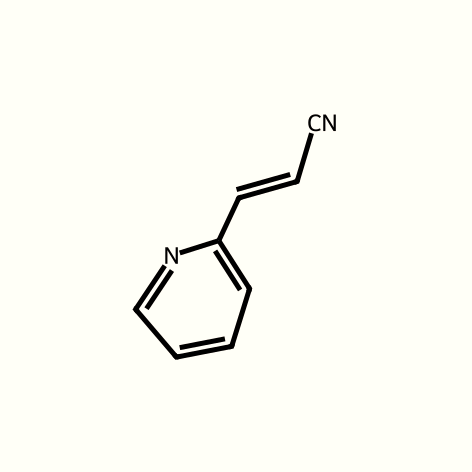 N#C/C=C/c1ccccn1